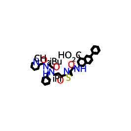 CCC(C)C(NC(=O)C1CCCCN1C)C(=O)N(Cc1ccccc1)[C@H](CC(=O)c1nc(C(=O)N[C@H]2Cc3ccc(-c4ccccc4)cc3[C@H](C(=O)O)C2)cs1)C(C)C